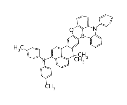 Cc1ccc(N(c2ccc(C)cc2)c2ccc3c4c(cccc24)C(C)(C)c2cc4c(cc2-3)Oc2cccc3c2B4c2ccccc2N3c2ccccc2)cc1